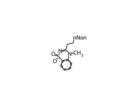 CCCCCCCCCCCC1=NS(=O)(=O)c2ccccc2N1C